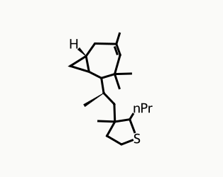 CCCC1SCCC1(C)C[C@@H](C)C1C2C[C@@H]2CC(C)=CC1(C)C